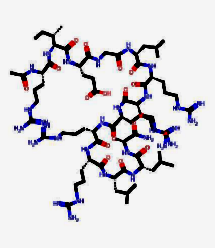 CC[C@H](C)[C@H](NC(=O)[C@H](CCCNC(=N)N)NC(C)=O)C(=O)N[C@@H](CCC(=O)O)C(=O)NCC(=O)N[C@@H](CC(C)C)C(=O)N[C@@H](CCCNC(=N)N)C(=O)N[C@@H](CCCCN)C(=O)N[C@@H](CCCNC(=N)N)C(=O)N[C@@H](CCCNC(=N)N)C(=O)N[C@@H](CCCNC(=N)N)C(=O)N[C@@H](CC(C)C)C(=O)N[C@@H](CC(C)C)C(=O)N[C@@H](C)C(N)=O